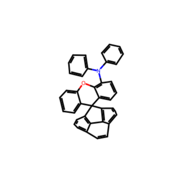 c1ccc(N(c2ccccc2)c2cccc3c2Oc2ccccc2C32c3cccc4ccc5cccc2c5c34)cc1